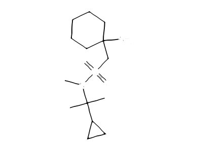 CN(C(C)(C)C1CC1)S(=O)(=O)CC1(N)CCCCC1